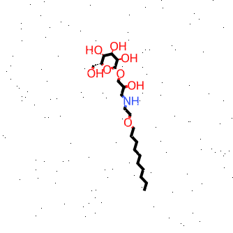 CCCCCCCCCCOCCNCC(O)CO[C@@H]1O[C@H](CO)[C@H](O)[C@H](O)[C@H]1O